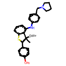 COC1(C)c2c(Nc3ccc(CN4CCCC4)cc3)cccc2SC1c1ccc(O)cc1